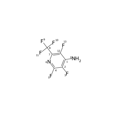 Nc1c(F)c(F)nc(C(F)(F)F)c1F